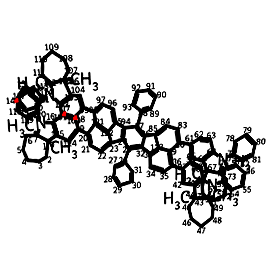 CC12CCCCCC1(C)N(c1ccccc1)c1ccc(-c3ccc4c5c(-c6ccccc6)c6c7ccc(-c8ccc9c(c8)C8(C)CCCCCC8(C)N9c8ccccc8)c8c(-c9ccc%10c(c9)C9(C)CCCCCC9(C)N%10c9ccccc9)ccc(c6c(-c6ccccc6)c5c5ccc(-c6ccc9c(c6)C6(C)CCCCCC6(C)N9c6ccccc6)c3c45)c87)cc12